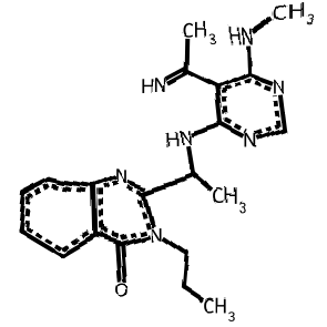 CCCn1c(C(C)Nc2ncnc(NC)c2C(C)=N)nc2ccccc2c1=O